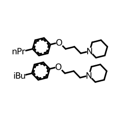 CCC(C)c1ccc(OCCCN2CCCCC2)cc1.CCCc1ccc(OCCCN2CCCCC2)cc1